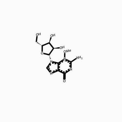 COn1c(N)nc(=O)c2ncn([C@@H]3O[C@H](CO)[C@@H](O)[C@H]3O)c21